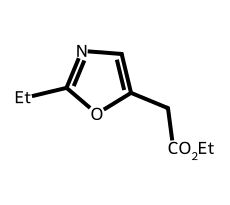 CCOC(=O)Cc1cnc(CC)o1